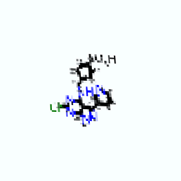 Cn1nc(-c2cccnc2)c2c(NCc3ccc(S(=O)(=O)O)cc3)nc(Cl)nc21